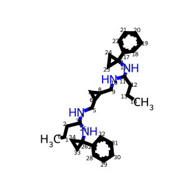 CCCC(NCC1CC1CNC(CCC)NC1(c2ccccc2)CC1)NC1(c2ccccc2)CC1